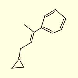 CC(=CCN1CC1)c1ccccc1